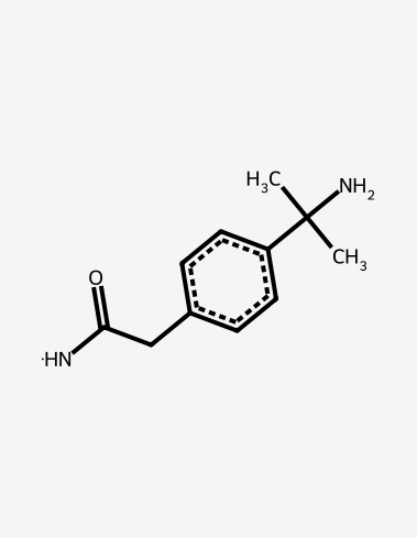 CC(C)(N)c1ccc(CC([NH])=O)cc1